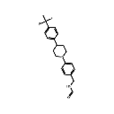 CC(F)(F)c1ccc(C2CCN(c3ccc(CNC=O)cc3)CC2)cc1